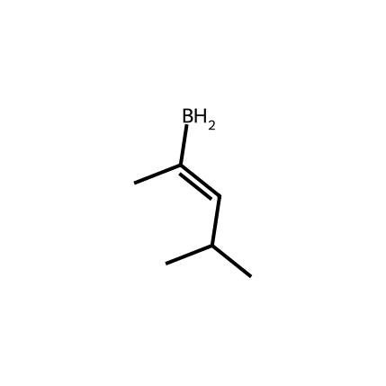 B/C(C)=C/C(C)C